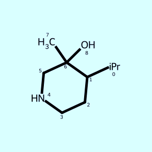 CC(C)C1CCNCC1(C)O